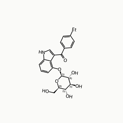 CCc1ccc(C(=O)c2c[nH]c3cccc(O[C@@H]4O[C@H](CO)[C@@H](O)[C@H](O)[C@H]4O)c23)cc1